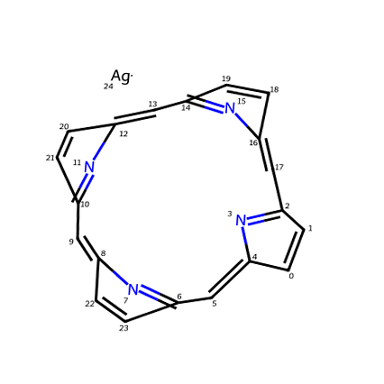 C1=CC2=NC1=CC1=NC(=CC3=NC(=CC4=NC(=C2)C=C4)C=C3)C=C1.[Ag]